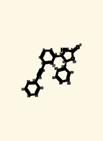 O=C1N[C@H](c2cccc(C#Cc3ccccc3)n2)[C@@H](c2cccnc2)O1